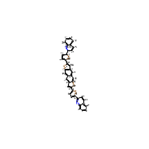 c1ccc2nc(-c3ccc(-c4cc5cc6cc7sc(-c8ccc(-c9ccc%10ccccc%10n9)s8)cc7cc6cc5s4)s3)ccc2c1